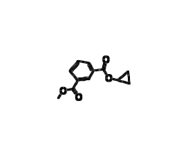 COC(=O)c1cccc(C(=O)OC2CC2)c1